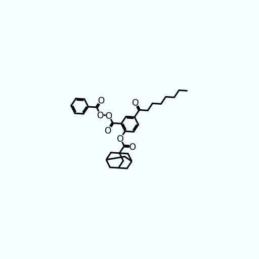 CCCCCCCC(=O)c1ccc(OC(=O)C23CC4CC(CC(C4)C2)C3)c(C(=O)OOC(=O)c2ccccc2)c1